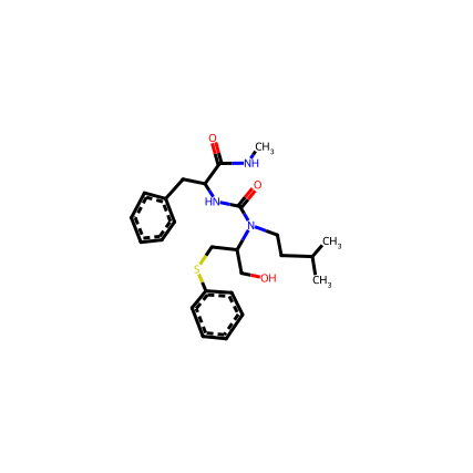 CNC(=O)C(Cc1ccccc1)NC(=O)N(CCC(C)C)C(CO)CSc1ccccc1